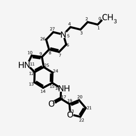 CCCCCN1CC=C(c2c[nH]c3ccc(NC(=O)c4ccco4)cc23)CC1